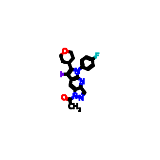 CC(=O)n1ncc2nc3c(cc21)c(I)c(C1CCOCC1)n3-c1ccc(F)cc1